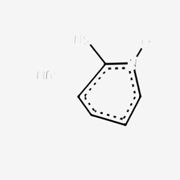 Br.[O-][n+]1ccccc1S